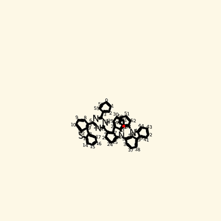 c1ccc(-c2nc(-c3cccc4sc5ccccc5c34)nc(-c3cccc4c3c3ccccc3n4-c3cccc4c5ccccc5n(-c5ccccc5)c34)n2)cc1